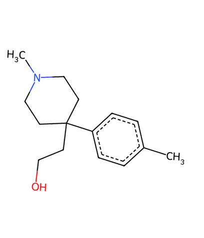 Cc1ccc(C2(CCO)CCN(C)CC2)cc1